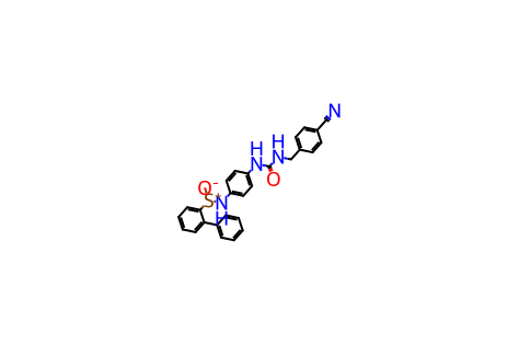 N#Cc1ccc(CNC(=O)Nc2ccc(N[S+]([O-])c3ccccc3-c3ccccc3)cc2)cc1